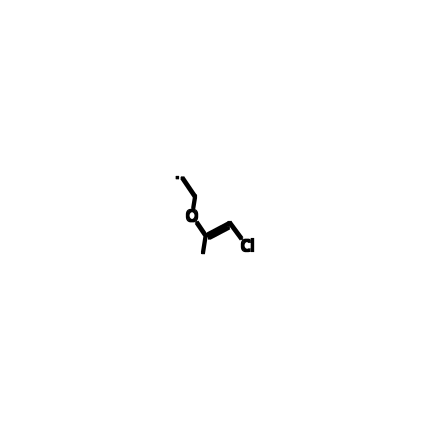 [CH2]COC(C)=CCl